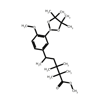 COC(=O)C(C)(C)C(C)(C)CC(C)c1ccc(OC)c(B2OC(C)(C)C(C)(C)O2)c1